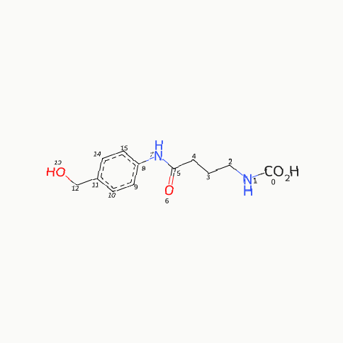 O=C(O)NCCCC(=O)Nc1ccc(CO)cc1